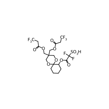 O=C(CC(F)(F)F)OCC1(COC(=O)CC(F)(F)F)COC2(CCCCC2OC(=O)C(F)(F)S(=O)(=O)O)OC1